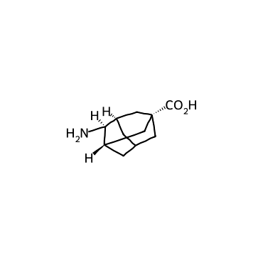 N[C@H]1[C@@H]2CC3C[C@H]1C[C@](C(=O)O)(C3)C2